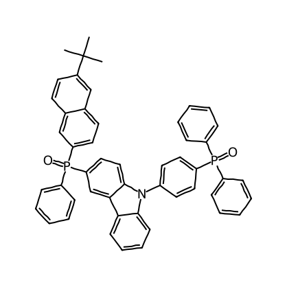 CC(C)(C)c1ccc2cc(P(=O)(c3ccccc3)c3ccc4c(c3)c3ccccc3n4-c3ccc(P(=O)(c4ccccc4)c4ccccc4)cc3)ccc2c1